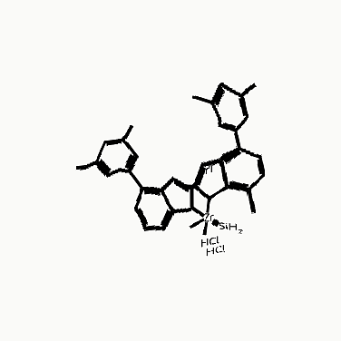 CC1=Cc2c(-c3cc(C)cc(C)c3)ccc(C)c2[CH]1[Zr]([CH3])([CH3])(=[SiH2])[CH]1C(C(C)C)=Cc2c(-c3cc(C)cc(C)c3)cccc21.Cl.Cl